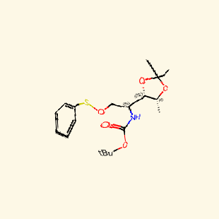 C[C@H]1OC(C)(C)O[C@H]1[C@H](COSc1ccccc1)NC(=O)OC(C)(C)C